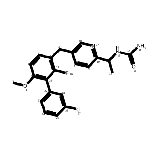 COc1ccc(Cc2ccc(C(C)NC(N)=O)nc2)c(F)c1-c1cccc(Cl)c1